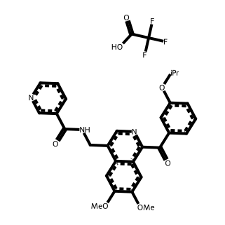 COc1cc2c(CNC(=O)c3cccnc3)cnc(C(=O)c3cccc(OC(C)C)c3)c2cc1OC.O=C(O)C(F)(F)F